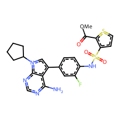 COC(=O)c1sccc1S(=O)(=O)Nc1ccc(-c2cn(C3CCCC3)c3ncnc(N)c23)cc1F